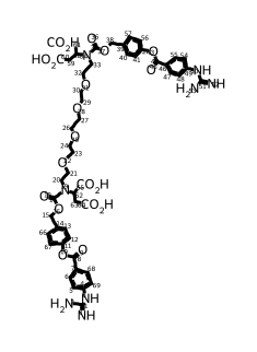 N=C(N)Nc1ccc(C(=O)Oc2ccc(COC(=O)N(CCOCCOCCOCCOCCN(C(=O)OCc3ccc(OC(=O)c4ccc(NC(=N)N)cc4)cc3)C(CC(=O)O)C(=O)O)C(CC(=O)O)C(=O)O)cc2)cc1